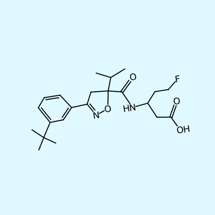 CC(C)C1(C(=O)NC(CCF)CC(=O)O)CC(c2cccc(C(C)(C)C)c2)=NO1